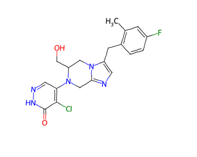 Cc1cc(F)ccc1Cc1cnc2n1CC(CO)N(c1cn[nH]c(=O)c1Cl)C2